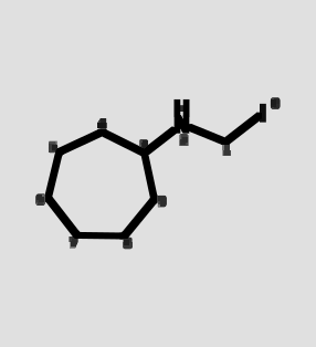 ICNC1CCCCCC1